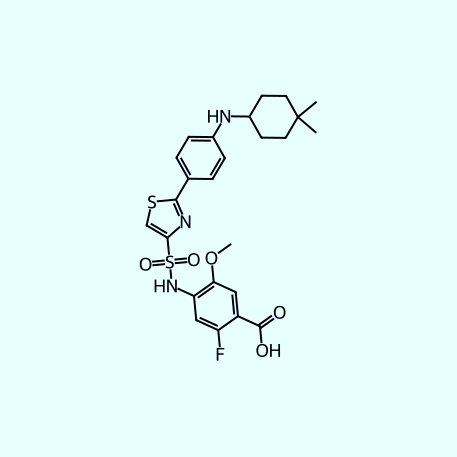 COc1cc(C(=O)O)c(F)cc1NS(=O)(=O)c1csc(-c2ccc(NC3CCC(C)(C)CC3)cc2)n1